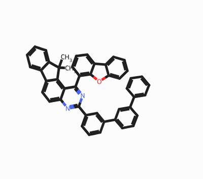 CC1(C)c2ccccc2-c2ccc3nc(-c4cccc(-c5cccc(-c6ccccc6)c5)c4)nc(-c4cccc5c4oc4ccccc45)c3c21